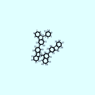 c1ccc(C2c3ccccc3-c3cc(-c4ccc5c6ccccc6n(-c6cc(-c7ccc8c(c7)Cc7ccccc7-8)cc7ccccc67)c5c4)ccc32)cc1